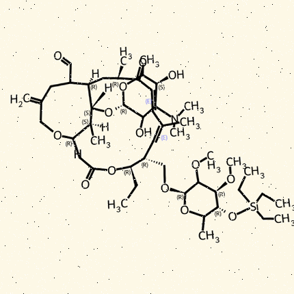 C=C1CO[C@@H]2CC(=O)O[C@H](CC)[C@@H](CO[C@@H]3OC(C)[C@@H](O[Si](CC)(CC)CC)[C@H](OC)C3OC)/C=C(C)/C=C/C(=O)[C@H](C)C[C@H](C(C=O)C1)[C@H](O[C@@H]1OC(C)[C@@H](O)C(N(C)C)C1O)[C@H]2C